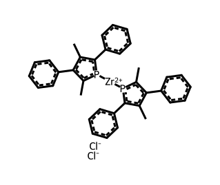 Cc1c(-c2ccccc2)c(C)[p]([Zr+2][p]2c(C)c(-c3ccccc3)c(C)c2-c2ccccc2)c1-c1ccccc1.[Cl-].[Cl-]